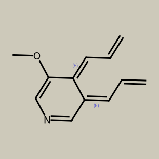 C=C/C=c1/cncc(OC)/c1=C/C=C